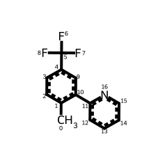 Cc1ccc(C(F)(F)F)cc1-c1ccccn1